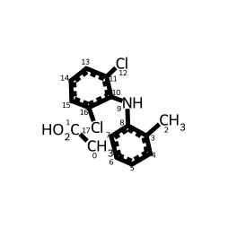 CC(=O)O.Cc1ccccc1Nc1c(Cl)cccc1Cl